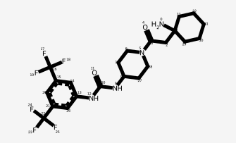 NC1(CC(=O)N2CCC(NC(=O)Nc3cc(C(F)(F)F)cc(C(F)(F)F)c3)CC2)CCCCC1